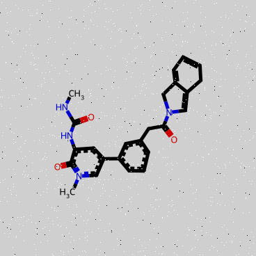 CNC(=O)Nc1cc(-c2cccc(CC(=O)N3C=C4CC=CC=C4C3)c2)cn(C)c1=O